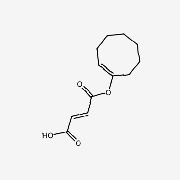 O=C(O)C=CC(=O)OC1=CCCCCCC1